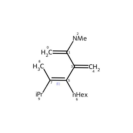 C=C(NC)C(=C)/C(CCCCCC)=C(\C)C(C)C